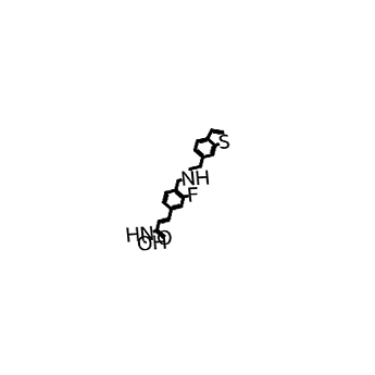 O=C(/C=C/c1ccc(CNCCc2ccc3ccsc3c2)c(F)c1)NO